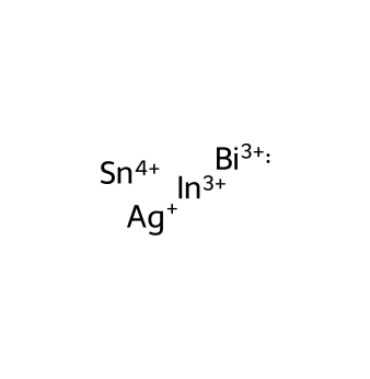 [Ag+].[Bi+3].[In+3].[Sn+4]